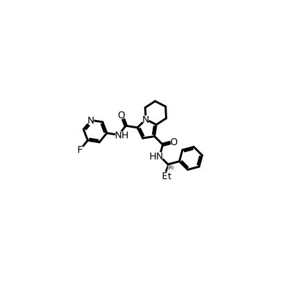 CC[C@@H](NC(=O)c1cc(C(=O)Nc2cncc(F)c2)n2c1CCCC2)c1ccccc1